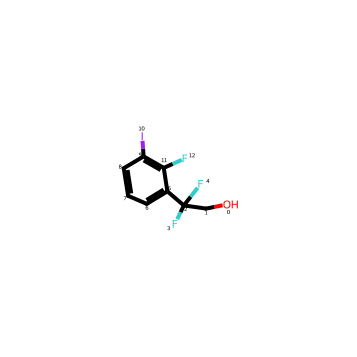 OCC(F)(F)c1cccc(I)c1F